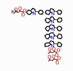 CC(=O)CC(=O)C(=O)[O-].CC(=O)CC(=O)C(=O)[O-].CC(=O)CC(=O)C(=O)[O-].[Ir+3].c1ccc(-c2ccc3ccccc3n2)cc1.c1ccc(-c2ccc3ccccc3n2)cc1.c1ccc(-c2ccc3ccccc3n2)cc1.c1ccc(-c2ccc3ccccc3n2)cc1.c1ccc(-c2ccc3ccccc3n2)cc1.c1ccc(-c2ccc3ccccc3n2)cc1